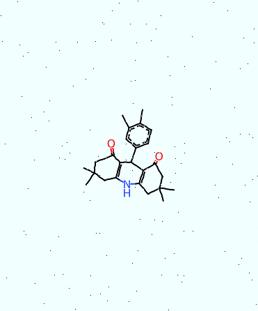 Cc1ccc(C2C3=C(CC(C)(C)CC3=O)NC3=C2C(=O)CC(C)(C)C3)cc1C